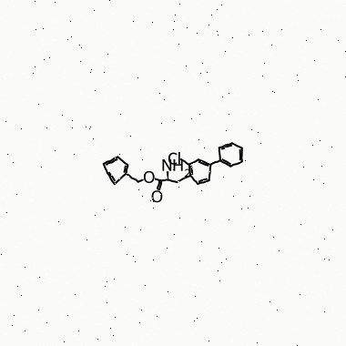 N[C@@H](Cc1ccc(-c2ccccc2)cc1Cl)C(=O)OCc1ccccc1